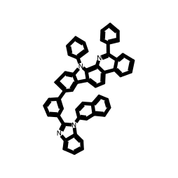 c1ccc(-c2nc3c(ccc4c5cc(-c6cccc(-c7nc8ccccc8n7-c7ccc8ccccc8c7)c6)ccc5n(-c5ccccc5)c43)c3ccccc23)cc1